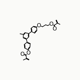 C=C(C)C(=O)OCCCOc1ccc(-c2cc(C)cc(-c3ccc(OC(=O)C(=C)C)cc3)c2)cc1